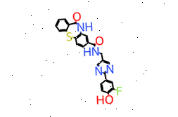 O=C(NCc1cnc(-c2ccc(O)c(F)c2)nc1)c1ccc2c(c1)NC(=O)c1ccccc1S2